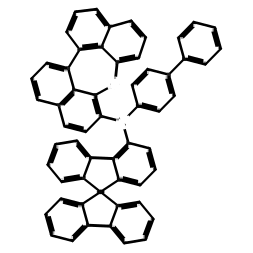 c1ccc(-c2ccc(N(c3cccc4c3-c3ccccc3C43c4ccccc4-c4ccccc43)c3ccc4cccc5c6cccc7cccc(oc3c45)c76)cc2)cc1